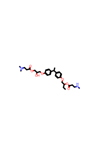 CCC(COc1ccc(C(C)c2ccc(OCC(O)COC(=O)CCN(C)C)cc2)cc1)OC(=O)CCNC